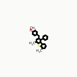 COc1ccc(Cc2cc(C)c3sc4c(C)cccc4c3c2-c2ccccc2)cc1